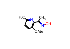 COc1ccc(C(F)(F)F)nc1C(C)=NO